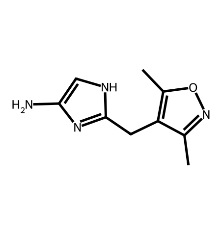 Cc1noc(C)c1Cc1nc(N)c[nH]1